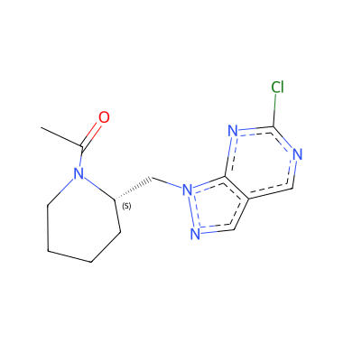 CC(=O)N1CCCC[C@H]1Cn1ncc2cnc(Cl)nc21